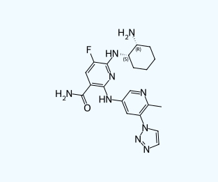 Cc1ncc(Nc2nc(N[C@H]3CCCC[C@H]3N)c(F)cc2C(N)=O)cc1-n1ccnn1